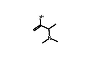 C=C(S)C(C)N(C)C